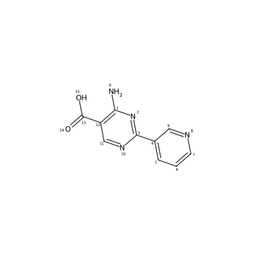 Nc1nc(-c2cccnc2)ncc1C(=O)O